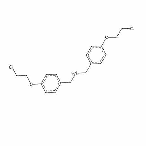 ClCCOc1ccc(CNCc2ccc(OCCCl)cc2)cc1